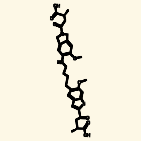 COc1cc2sc(C(=O)C[C@H](C)C(=O)O)cc2cc1CCCCNc1cc2c(cc1OC)CN(C(=O)C[C@H](C)C(=O)O)C2